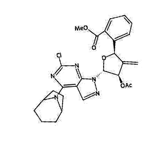 C=C1[C@H](c2ccccc2C(=O)OC)O[C@@H](n2ncc3c(N4C5CCCC4CC5)nc(Cl)nc32)[C@@H]1OC(C)=O